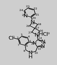 Cl.Clc1ccc2c(c1)CNCc1nnc(N3CC4(CN(c5ccccn5)C4)C3)n1-2